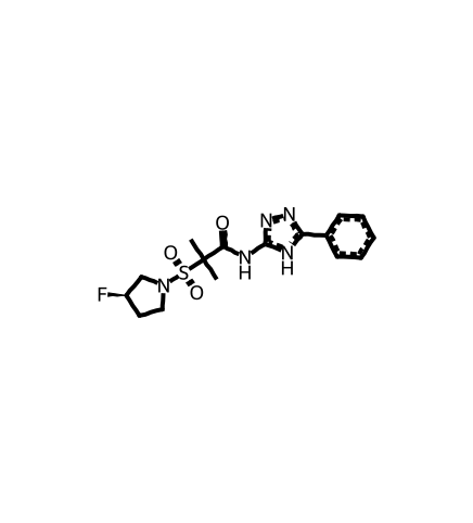 CC(C)(C(=O)Nc1nnc(-c2ccccc2)[nH]1)S(=O)(=O)N1CC[C@@H](F)C1